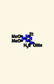 CCc1nc(N(C)COC)nc(N(COC)COC)n1